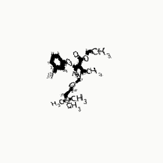 CCOC(=O)c1c(Oc2cccc(I)c2)nn(COCC[Si](C)(C)C)c1C